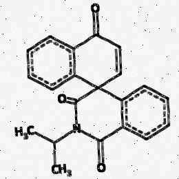 CC(C)N1C(=O)c2ccccc2C2(C=CC(=O)c3ccccc32)C1=O